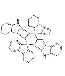 c1ccc2c(c1)-c1ccccc1C21c2cc3[nH]c4ccccc4c3cc2C2(c3ccccc3-c3ccccc32)c2cc3[nH]c4ccccc4c3cc21